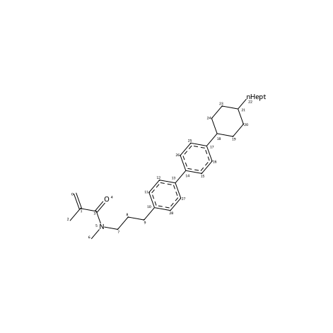 C=C(C)C(=O)N(C)CCCc1ccc(-c2ccc(C3CCC(CCCCCCC)CC3)cc2)cc1